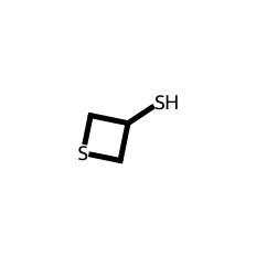 SC1CSC1